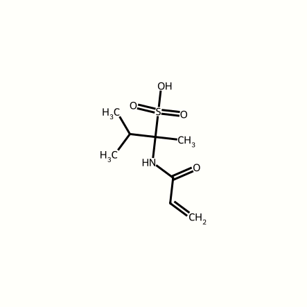 C=CC(=O)NC(C)(C(C)C)S(=O)(=O)O